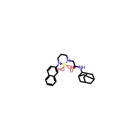 O=C(CN1CCCN(c2ccc3ccccc3c2)S1(O)O)NC1C2CC3CC(C2)CC1C3